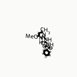 COC1=CC(C)=NN(NC(=O)NS(=O)(=O)c2ccccc2)N1